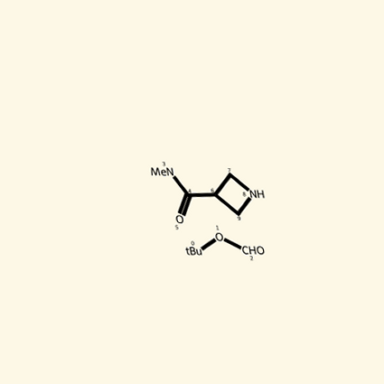 CC(C)(C)OC=O.CNC(=O)C1CNC1